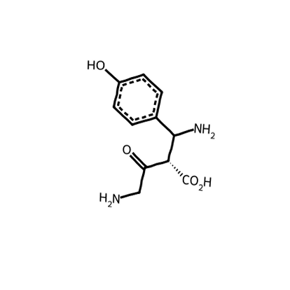 NCC(=O)[C@@H](C(=O)O)C(N)c1ccc(O)cc1